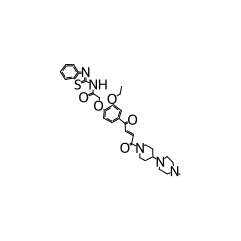 CCOc1cc(C(=O)C=CC(=O)N2CCC(N3CCN(C)CC3)CC2)ccc1OCC(=O)Nc1nc2ccccc2s1